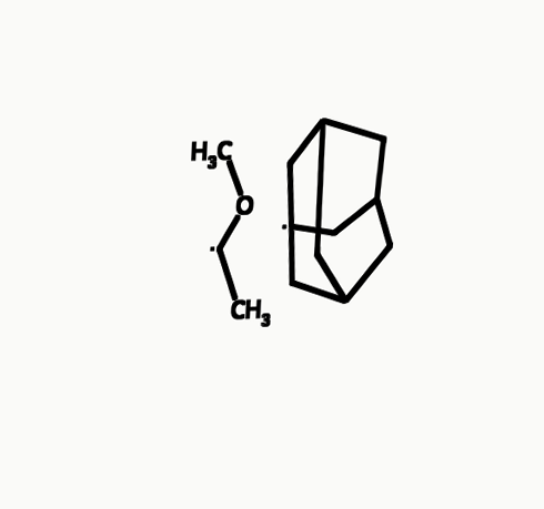 C1[C]2CC3CC1CC(C2)C3.C[CH]OC